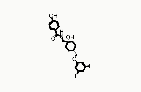 O=C(NC[C@]1(O)CC[C@@H](COc2cc(F)cc(F)c2)CC1)c1ccc(O)cc1